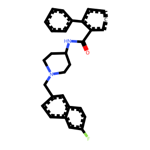 O=C(NC1CCN(Cc2ccc3cc(F)ccc3c2)CC1)c1ccccc1-c1ccccc1